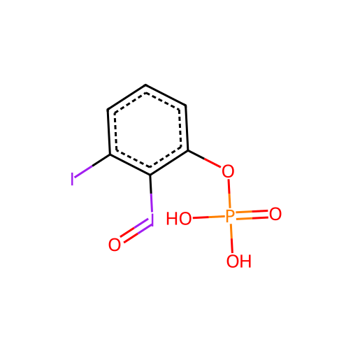 O=Ic1c(I)cccc1OP(=O)(O)O